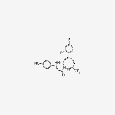 N#Cc1ccc(C2=CC(=O)N3\N=C(C(F)(F)F)/C=C\C(c4ccc(F)cc4F)=C/C3N2)cc1